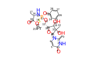 C=C1NC(=O)C=CN1[C@@H]1O[C@H](COP(=S)(NC(C)C(=O)OC(C)C)Oc2ccccc2)C(O)C1(C)O